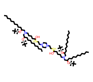 CCCCCCCCCCC(CN(CCCCC(O)=[SH]CCN1CCN(CC[SH]=C(O)CCCCN(CC(CCCCCCCCCC)O[Si](C)(C)C(C)(C)C)CC(CCCCCCCCCC)O[Si](C)(C)C(C)(C)C)CC1)CC(CCCCCCCCCC)O[Si](C)(C)C(C)(C)C)O[Si](C)(C)C(C)(C)C